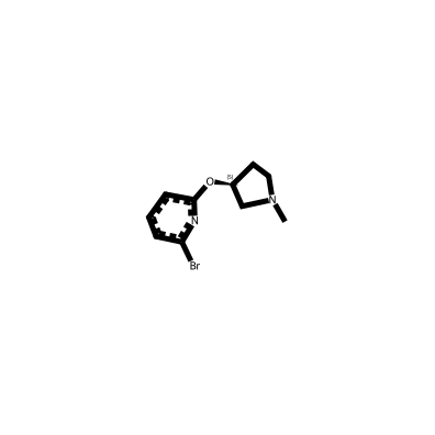 CN1CC[C@H](Oc2cccc(Br)n2)C1